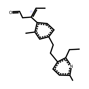 C/C=C(/CC=O)c1ccc(CCc2ccc(C)nc2CC)cc1C